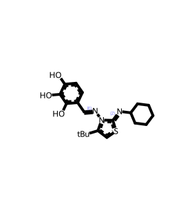 CC(C)(C)c1cs/c(=N\C2CCCCC2)n1/N=C/c1ccc(O)c(O)c1O